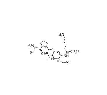 CC(C)C[C@H](NC(=O)[C@H](C)NC(=O)[C@@H]1CCCN1C(=O)[C@@H](N)C(C)C)C(=O)N[C@@H](CCCCN)C(=O)O